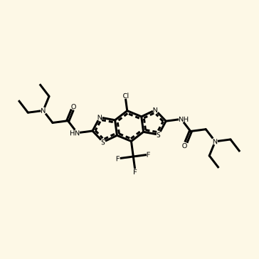 CCN(CC)CC(=O)Nc1nc2c(Cl)c3nc(NC(=O)CN(CC)CC)sc3c(C(F)(F)F)c2s1